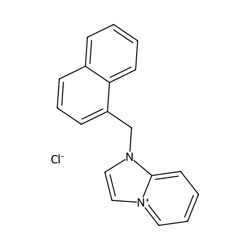 [Cl-].c1ccc2c(Cn3cc[n+]4ccccc34)cccc2c1